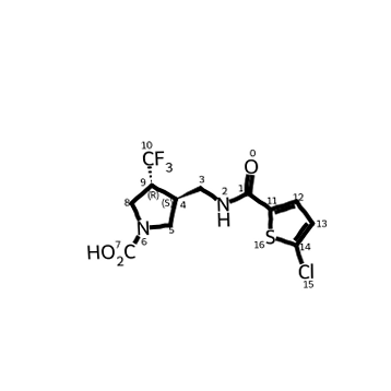 O=C(NC[C@H]1CN(C(=O)O)C[C@@H]1C(F)(F)F)c1ccc(Cl)s1